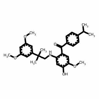 COc1cc(OC)cc(C(C)(C)CNc2cc(O)c(OC)cc2C(=O)c2ccc(C(C)C)cc2)c1